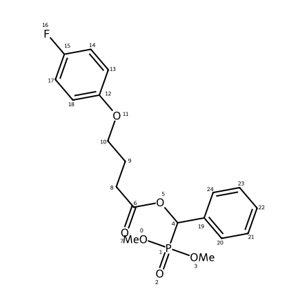 COP(=O)(OC)C(OC(=O)CCCOc1ccc(F)cc1)c1ccccc1